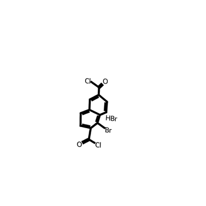 Br.O=C(Cl)c1ccc2c(Br)c(C(=O)Cl)ccc2c1